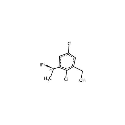 CC(C)[C@H](C)c1cc(Cl)cc(CO)c1Cl